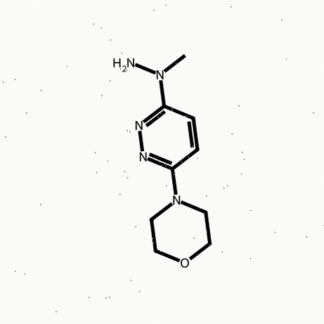 CN(N)c1ccc(N2CCOCC2)nn1